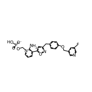 Nc1c(-c2cc(Cc3ccc(OCc4cncc(F)c4)cc3)no2)ccc[n+]1COP(=O)([O-])O